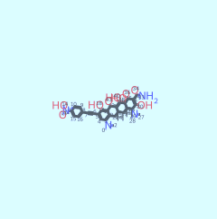 CN(C)c1cc(C#Cc2ccc([N+](=O)O)cc2)c(O)c2c1C[C@H]1C[C@H]3[C@H](N(C)C)C(O)=C(C(N)=O)C(=O)[C@@]3(O)C(O)=C1C2=O